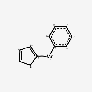 C1=CC[C]([Mn][c]2ccccc2)=C1